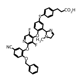 CN1CC=NC1c1cc(Sc2ccc(CCC(=O)O)cc2)ccc1Oc1c(F)cnc(Oc2cc(C#N)ccc2OCc2ccccc2)c1F